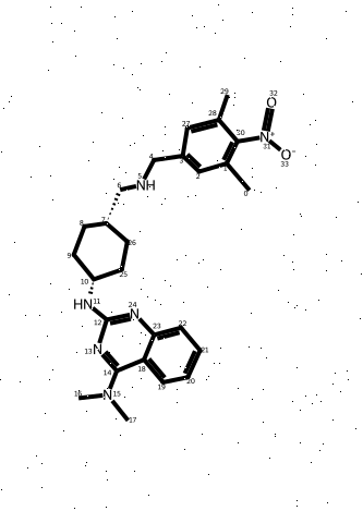 Cc1cc(CNC[C@H]2CC[C@@H](Nc3nc(N(C)C)c4ccccc4n3)CC2)cc(C)c1[N+](=O)[O-]